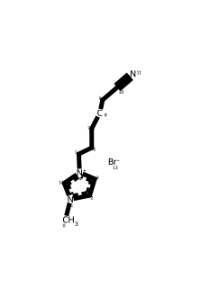 Cn1cc[n+](CCCCCC#N)c1.[Br-]